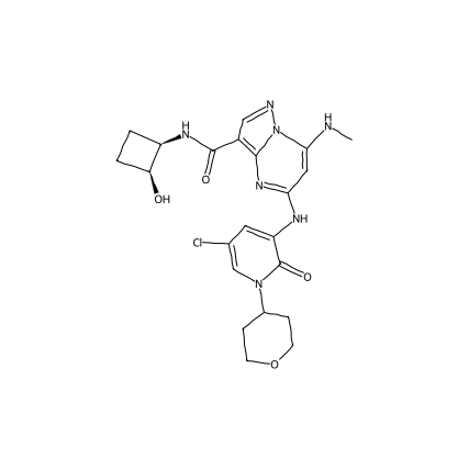 CNc1cc(Nc2cc(Cl)cn(C3CCOCC3)c2=O)nc2c(C(=O)N[C@@H]3CC[C@@H]3O)cnn12